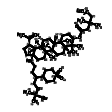 C=C(C)[C@@H]1CC[C@]2(NCCC(CO[Si](C)(C)C(C)(C)C)N3CCS(=O)(=O)CC3)CC[C@]3(C)[C@H](CC[C@@H]4[C@@]5(C)CC[C@H](OC(=O)CC(C)(C)CC(=O)OCC)C(C)(C)[C@@H]5CC[C@]43C)[C@@H]12